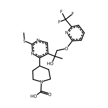 CSc1ncc(C(C)(O)COc2cccc(C(F)(F)F)n2)c(C2CCN(C(=O)O)CC2)n1